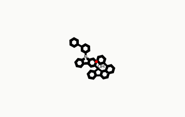 OC1(c2ccc3c(c2)c2ccccc2n3-c2cccc(-c3ccccc3)c2)c2ccccc2-c2ccc3cccc(-c4ccccc4)c3c21